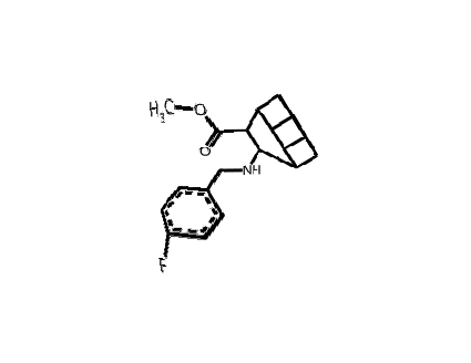 COC(=O)C1C(NCc2ccc(F)cc2)C2C3C4C1C1C2C3C41